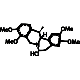 COc1cc2c(cc1OC)[C@H]1[C@@H](C)c3ccc(OC)c(OC)c3CN1CC2.Cl